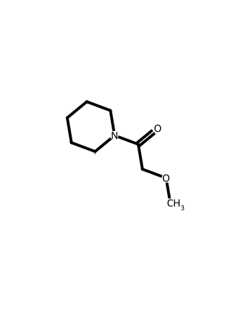 COCC(=O)N1[CH]CCCC1